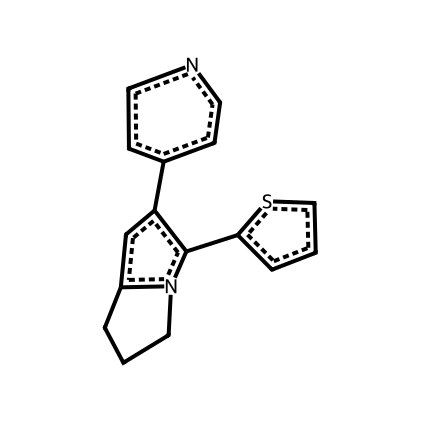 c1csc(-c2c(-c3ccncc3)cc3n2CCC3)c1